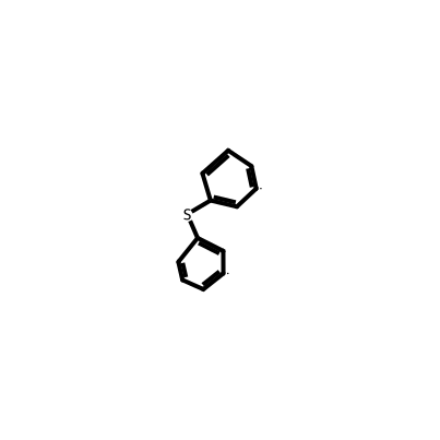 [c]1cccc(Sc2c[c]ccc2)c1